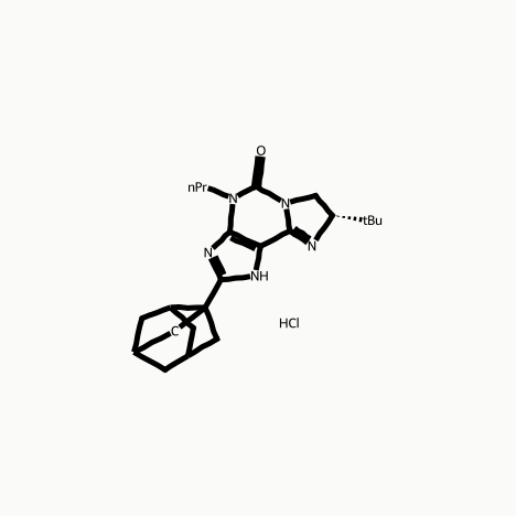 CCCN1C(=O)N2C[C@H](C(C)(C)C)N=C2c2[nH]c(C34CC5CC(CC3C5)C4)nc21.Cl